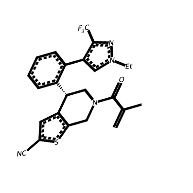 C=C(C)C(=O)N1Cc2sc(C#N)cc2[C@H](c2ccccc2-c2cn(CC)nc2C(F)(F)F)C1